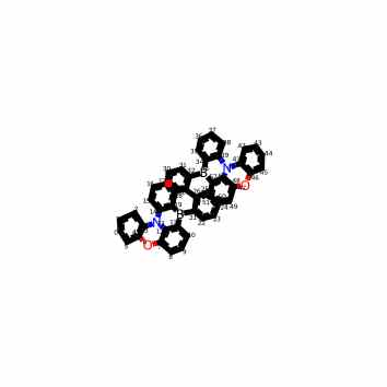 c1ccc2c(c1)Oc1cccc3c1N2c1ccccc1B3c1ccccc1-c1ccccc1B1c2ccccc2N2c3ccccc3Oc3cccc1c32